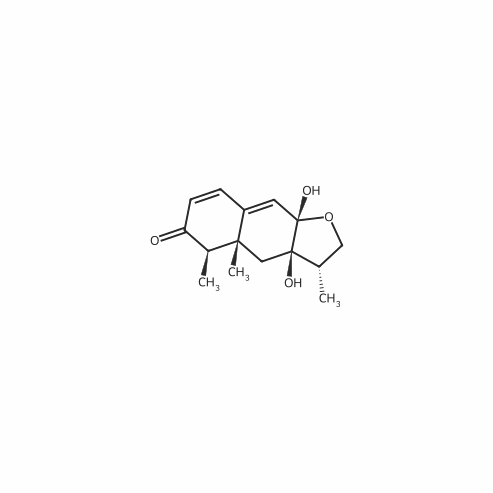 C[C@H]1C(=O)C=CC2=C[C@]3(O)OC[C@H](C)[C@]3(O)C[C@@]21C